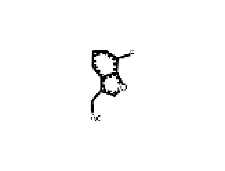 CC(=O)Cc1coc2c(F)cccc12